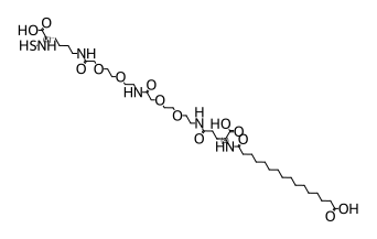 O=C(O)CCCCCCCCCCCCCCC(=O)N[C@@H](CCC(=O)NCCOCCOCC(=O)NCCOCCOCC(=O)NCCCC[C@H](NS)C(=O)O)C(=O)O